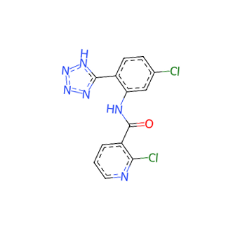 O=C(Nc1cc(Cl)ccc1-c1nnn[nH]1)c1cccnc1Cl